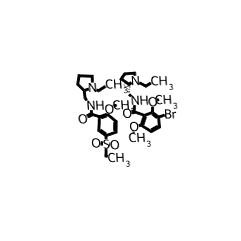 CCN1CCCC1CNC(=O)c1cc(S(=O)(=O)CC)ccc1OC.CCN1CCC[C@H]1CNC(=O)c1c(OC)ccc(Br)c1OC